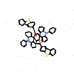 c1ccc(N2c3ccccc3C3(c4ccccc42)c2cc(-c4ccc5sc6ccccc6c5c4)oc2C2(c4ccccc4N(c4ccccc4)c4ccccc42)c2cc(-c4ccc5sc6ccccc6c5c4)oc23)cc1